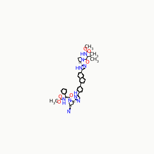 COC(=O)NC(C(=O)N1CCC[C@H]1c1ncc(-c2ccc3cc(-c4ccc(-c5cnc([C@@H]6C[C@@H](C#N)CN6C(=O)[C@H](NC(=O)OC)c6ccccc6)[nH]5)cc4)ccc3c2)[nH]1)C(C)C